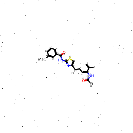 C=C(C)/C(=C\C[C@H](C)c1csc(NC(=O)c2cccc(OC)c2)n1)NC(=O)CC